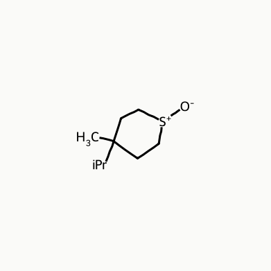 CC(C)C1(C)CC[S+]([O-])CC1